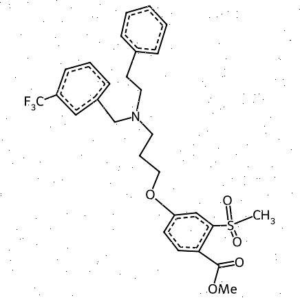 COC(=O)c1ccc(OCCCN(CCc2ccccc2)Cc2cccc(C(F)(F)F)c2)cc1S(C)(=O)=O